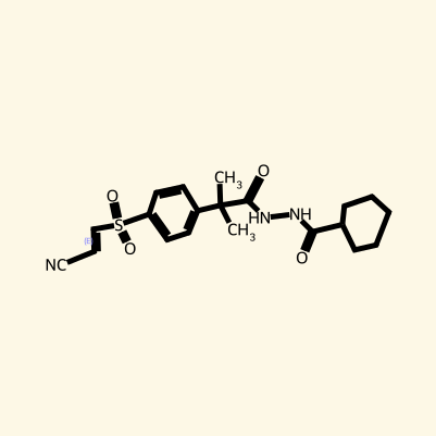 CC(C)(C(=O)NNC(=O)C1CCCCC1)c1ccc(S(=O)(=O)/C=C/C#N)cc1